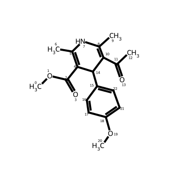 COC(=O)C1=C(C)NC(C)=C(C(C)=O)C1c1ccc(OC)cc1